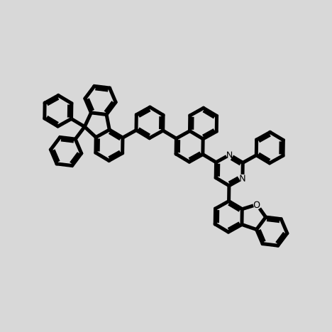 c1ccc(-c2nc(-c3ccc(-c4cccc(-c5cccc6c5-c5ccccc5C6(c5ccccc5)c5ccccc5)c4)c4ccccc34)cc(-c3cccc4c3oc3ccccc34)n2)cc1